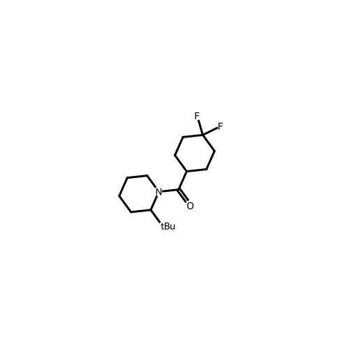 CC(C)(C)C1CCCCN1C(=O)C1CCC(F)(F)CC1